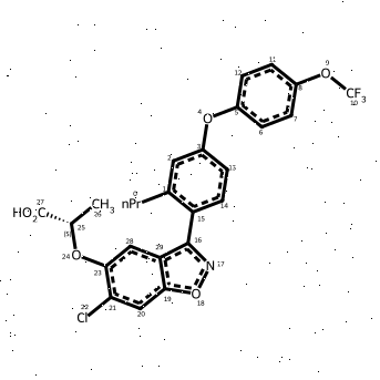 CCCc1cc(Oc2ccc(OC(F)(F)F)cc2)ccc1-c1noc2cc(Cl)c(O[C@@H](C)C(=O)O)cc12